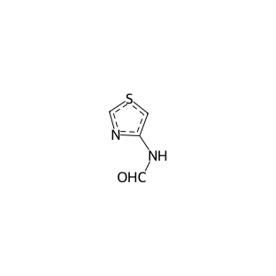 O=CNc1cscn1